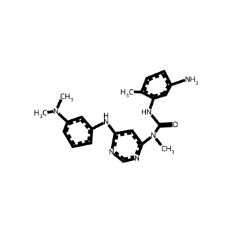 Cc1ccc(N)cc1NC(=O)N(C)c1cc(Nc2cccc(N(C)C)c2)ncn1